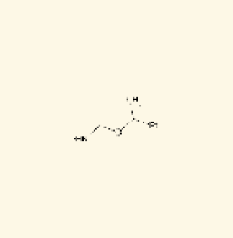 CCC(C)OC[NH]